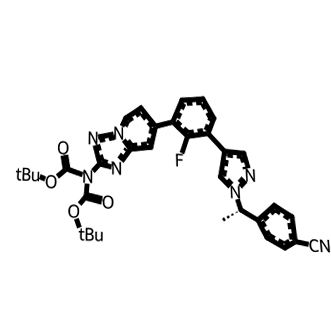 C[C@@H](c1ccc(C#N)cc1)n1cc(-c2cccc(-c3ccn4nc(N(C(=O)OC(C)(C)C)C(=O)OC(C)(C)C)nc4c3)c2F)cn1